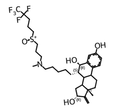 C=C1[C@H](O)CC2C3C(CC[C@]12C)c1ccc(O)cc1[C@H](O)[C@H]3CCCCCN(C)CCC[S+]([O-])CCCC(F)(F)C(F)(F)F